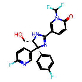 O=c1ccc(C2=N[C@@](c3ccc(F)cc3)(c3ccc(F)nc3)[C@H](CO)N2)cn1C(F)F